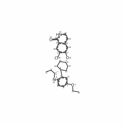 CCOc1cccc([C@]2(C(N)CC)CC[C@@H](Oc3cc4cc[nH]c(=O)c4cc3Cl)CC2)c1